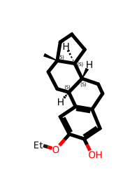 CCOc1cc2c(cc1O)CC[C@@H]1[C@@H]2CC[C@]2(C)CCC[C@@H]12